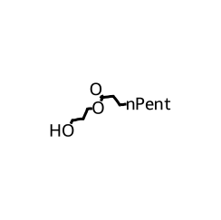 CCCCCCCC(=O)OCCCO